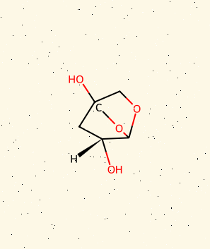 O[C@@H]1CC2(O)COC1OC2